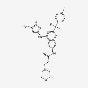 Cc1cc(Nc2nc(C(F)(F)c3ccc(F)cc3)nn3cc(NC(=O)CCN4CCOCC4)cc23)n[nH]1